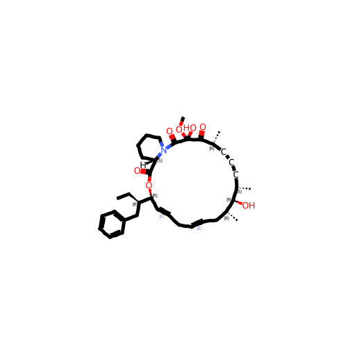 CC[C@H](Cc1ccccc1)[C@@H]1/C=C/C/C=C/C[C@@H](C)[C@H](O)[C@@H](C)CCC[C@@H](C)C(=O)C(O)(OC)C(=O)N2CCCC[C@H]2C(=O)O1